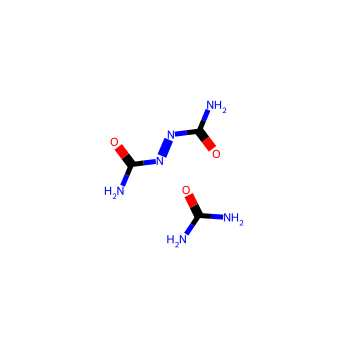 NC(=O)N=NC(N)=O.NC(N)=O